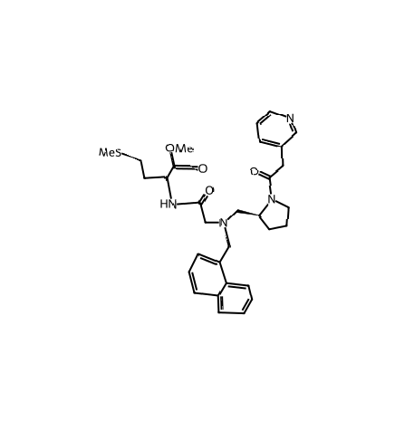 COC(=O)C(CCSC)NC(=O)CN(Cc1cccc2ccccc12)C[C@@H]1CCCN1C(=O)Cc1cccnc1